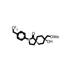 COC[C@]1(O)CC[C@]2(CCN(c3ccc(CC(F)(F)F)cc3)C2=O)CC1